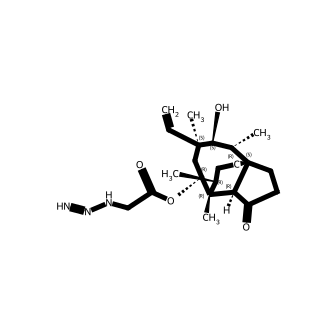 C=C[C@]1(C)C[C@@H](OC(=O)CNN=N)[C@]2(C)[C@H](C)CC[C@]3(CCC(=O)[C@H]32)[C@@H](C)[C@@H]1O